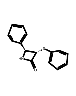 O=C1N[C@@H](c2ccccc2)[C@@H]1Sc1ccccc1